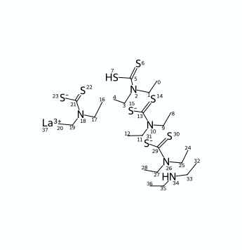 CCN(CC)C(=S)S.CCN(CC)C(=S)[S-].CCN(CC)C(=S)[S-].CCN(CC)C(=S)[S-].CCNCC.[La+3]